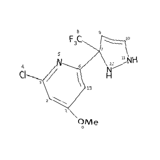 COc1cc(Cl)nc(C2(C(F)(F)F)C=CNN2)c1